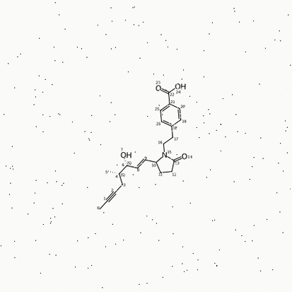 CC#CC[C@H](C)[C@H](O)C=CC1CCC(=O)N1CCc1ccc(C(=O)O)cc1